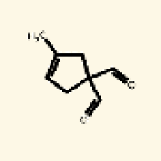 CC1=CCC(C=O)(C=O)C1